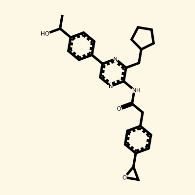 CC(O)c1ccc(-c2cnc(NC(=O)Cc3ccc(C4CO4)cc3)c(CC3CCCC3)n2)cc1